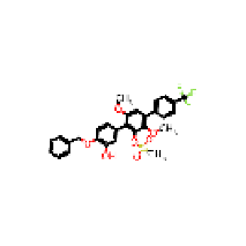 COc1cc(-c2ccc(C(F)(F)F)cc2)c(OC)c(OS(C)(=O)=O)c1-c1ccc(OCc2ccccc2)c(O)c1